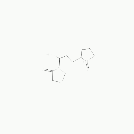 CC(CCC1CCC[N+]1=O)N1COCC1=O